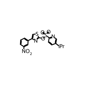 CC(C)c1ccc(S(=O)(=O)Oc2nc(-c3cccc([N+](=O)[O-])c3)cs2)nc1